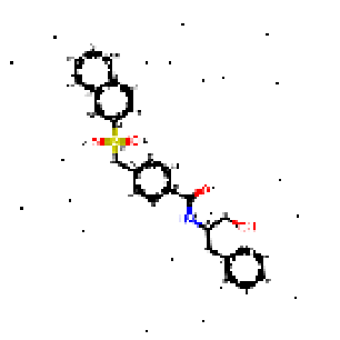 O=C(NC(CO)Cc1ccccc1)c1ccc(CS(=O)(=O)c2ccc3ccccc3c2)cc1